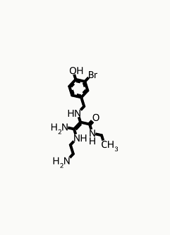 CCNC(=O)/C(NCc1ccc(O)c(Br)c1)=C(/N)NCCN